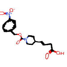 O=C(O)CCCC1CCN(C(=O)OCc2ccc([N+](=O)[O-])cc2)CC1